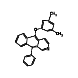 Cc1cc(C)cc(Oc2c3ccccc3c(-c3ccccc3)c3cnccc23)c1